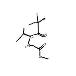 COC(=O)N[C@H](C(=O)C(C)(C)C)C(C)C